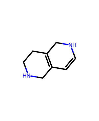 [CH]1NCCC2=C1C=CNC2